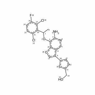 CC(Oc1c(N)ncc2c(-c3ccc(CO)s3)coc12)c1c(Cl)ccc(F)c1Cl